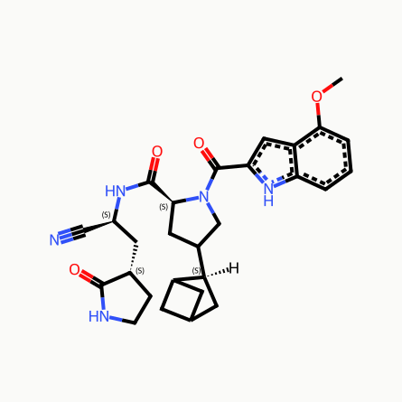 COc1cccc2[nH]c(C(=O)N3CC([C@H]4CC5CC4C5)C[C@H]3C(=O)N[C@H](C#N)C[C@@H]3CCNC3=O)cc12